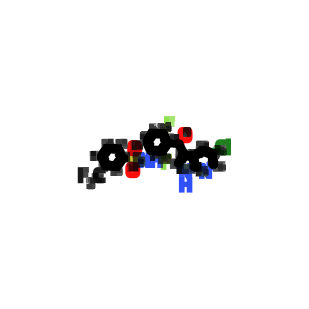 O=C(c1c(F)ccc(NS(=O)(=O)c2cccc(C(F)(F)F)c2)c1F)c1c[nH]c2ncc(Cl)cc12